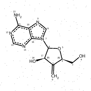 C=C1[C@H](CO)OC(n2cnc3c(N)ncnc32)[C@@H]1O